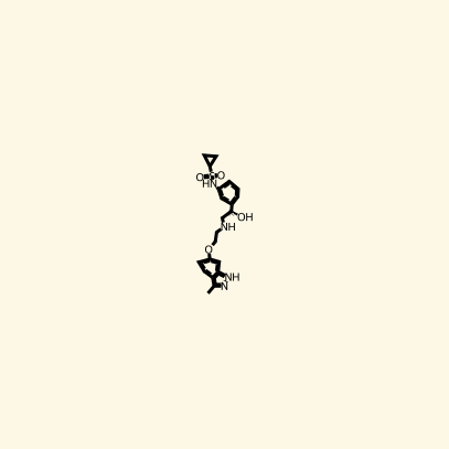 Cc1n[nH]c2cc(OCCNC[C@H](O)c3cccc(NS(=O)(=O)C4CC4)c3)ccc12